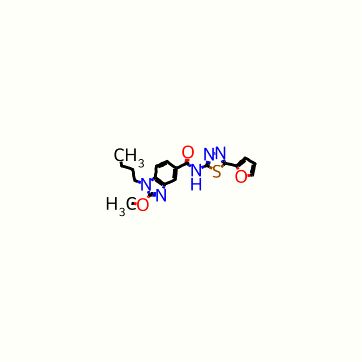 CCCCn1c(OC)nc2cc(C(=O)Nc3nnc(-c4ccco4)s3)ccc21